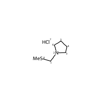 CSCN1CCCC1.Cl